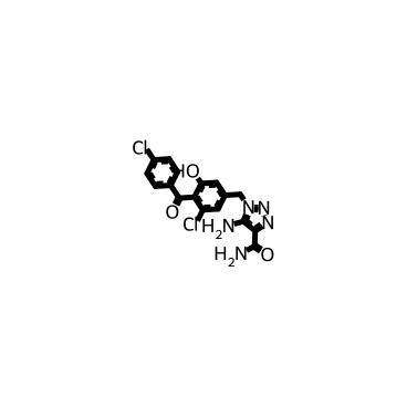 NC(=O)c1nnn(Cc2cc(O)c(C(=O)c3ccc(Cl)cc3)c(Cl)c2)c1N